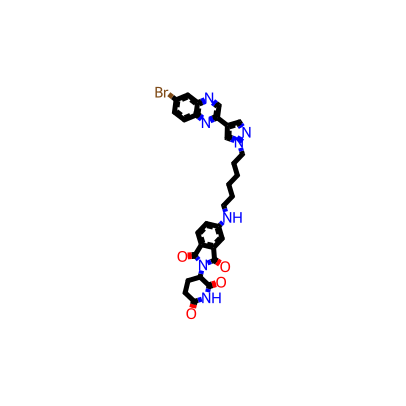 O=C1CCC(N2C(=O)c3ccc(NCCCCCCn4cc(-c5cnc6cc(Br)ccc6n5)cn4)cc3C2=O)C(=O)N1